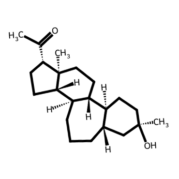 CC(=O)[C@H]1CC[C@H]2[C@@H]3CCC[C@H]4C[C@](C)(O)CC[C@@H]4[C@H]3CC[C@]12C